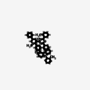 CC1C=CCCC1N1C2=CCCC=C2C2c3c(oc4cc(C5=C(C6=NC(C7C=CC=CC7)=NC(C7CCC=C[C@H]7C)N6)CC(c6ccccc6)CN5C)ccc34)C=CC21